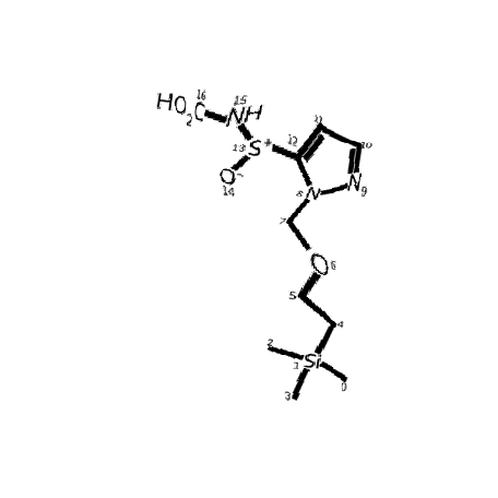 C[Si](C)(C)CCOCn1nccc1[S+]([O-])NC(=O)O